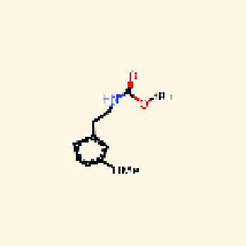 COc1cccc(CCNC(=O)OC(C)(C)C)c1